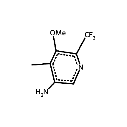 COc1c(C(F)(F)F)ncc(N)c1C